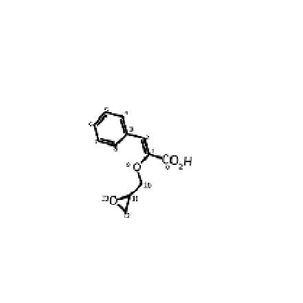 O=C(O)C(=Cc1ccccc1)OCC1CO1